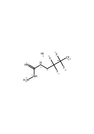 I.N=C(NN)NCC(F)(F)C(F)(F)C(F)(F)F